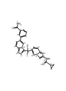 NC(=O)c1cccc(-c2ccc3nnc(C(F)(F)c4ccc5nc(NC(=O)C6CC6)cn5n4)n3c2)c1